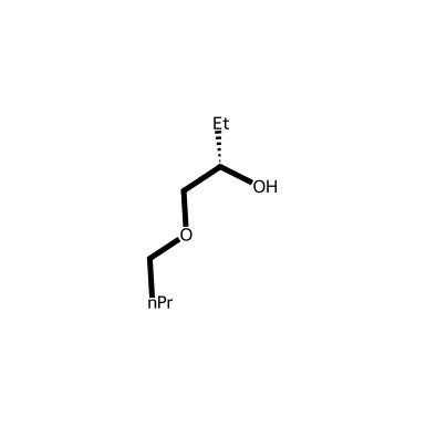 [CH2-][CH+][C@H](O)COCCCC